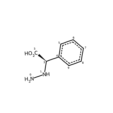 NN[C@@H](C(=O)O)c1ccccc1